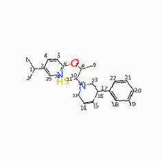 CC(C)c1ccc(OC(C)C(S)N2CCCC(c3ccccc3)C2)nc1